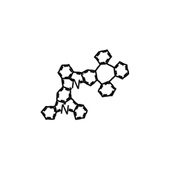 c1ccc2c(c1)-c1ccccc1-c1cc3c4cccc5c6cc7c8ccccc8n8c9ccccc9c(c78)c6n(c3cc1-c1ccccc1-2)c45